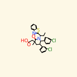 CCC(c1nc2ccccc2s1)N1C(=O)C(C)(CC(=O)O)CC(c2cccc(Cl)c2)C1c1ccc(Cl)cc1